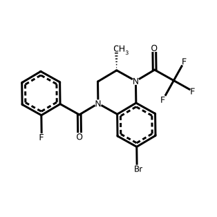 C[C@H]1CN(C(=O)c2ccccc2F)c2cc(Br)ccc2N1C(=O)C(F)(F)F